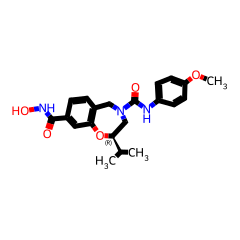 COc1ccc(NC(=O)N2Cc3ccc(C(=O)NO)cc3O[C@H](C(C)C)C2)cc1